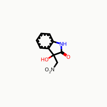 O=C1Nc2ccccc2C1(O)C[N+](=O)[O-]